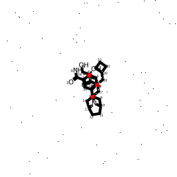 NC(=O)c1cccc(C2CC3CCC(C2)N3CCN(CC2CCC2)C(=O)[C@H](O)CO)c1